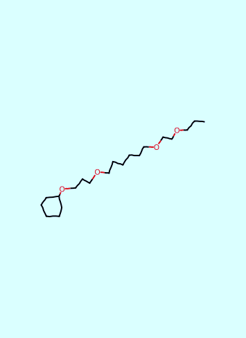 CCCOCCOCCCCCCOCCCOC1CCCCC1